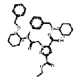 CCOC(=O)c1cc(C(=O)N[C@H]2CCCC[C@@H]2OCc2ccccc2)n(CC(=O)N(C)[C@H]2CCCC[C@@H]2OCc2ccccc2)n1